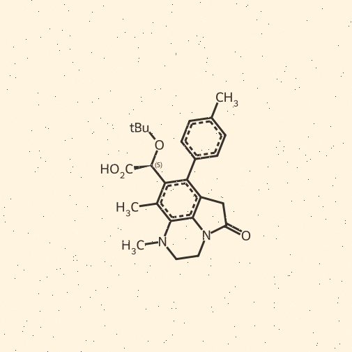 Cc1ccc(-c2c3c4c(c(C)c2[C@H](OC(C)(C)C)C(=O)O)N(C)CCN4C(=O)C3)cc1